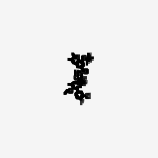 CCOc1c(C)cc([C@@](O)(CNC(=O)c2cc(OC(F)(F)F)c3nc(C)c(C)cc3c2)C(F)(F)F)nc1-c1ccc(F)c(Cl)c1